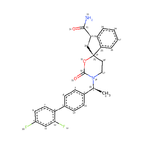 C[C@@H](c1ccc(-c2ccc(F)cc2F)cc1)N1CC[C@@](CCC(N)=O)(c2ccccc2)OC1=O